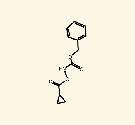 O=C(NOC(=O)C1CC1)OCc1ccccc1